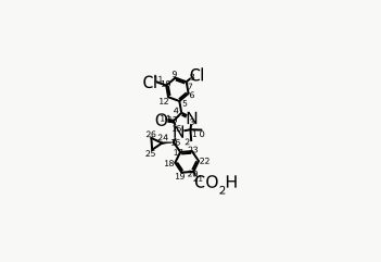 CC1(C)N=C(c2cc(Cl)cc(Cl)c2)C(=O)N1[C@@H](c1ccc(C(=O)O)cc1)C1CC1